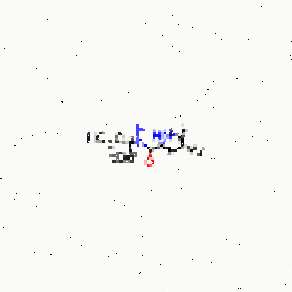 CC(=O)c1c[nH]c(C(=O)NC(C(=O)O)C(C)(C)C)c1